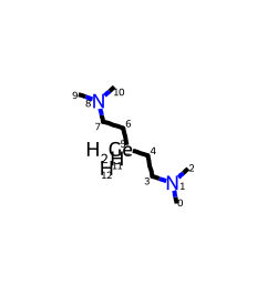 CN(C)C[CH2][GeH2][CH2]CN(C)C.[H-].[H-]